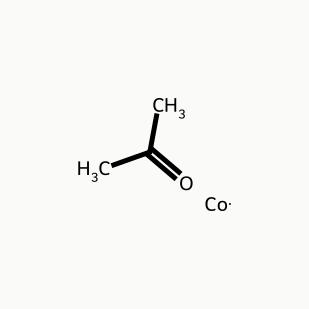 CC(C)=O.[Co]